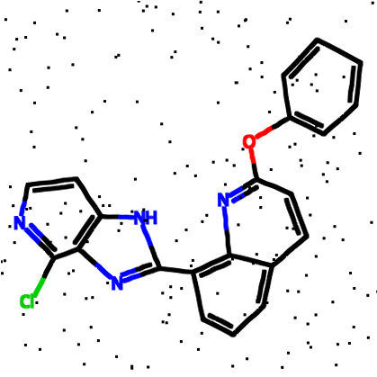 Clc1nccc2[nH]c(-c3cccc4ccc(Oc5ccccc5)nc34)nc12